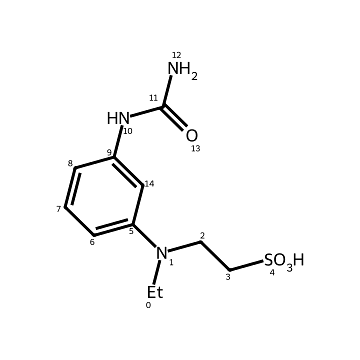 CCN(CCS(=O)(=O)O)c1cccc(NC(N)=O)c1